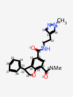 CNC(=O)c1cc(C(=O)NCCc2cnn(C)c2)cc2c1OCC2c1ccccc1